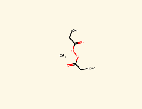 C.CCCCCCCCCCCC(=O)OOC(=O)CCCCCCCCCCC